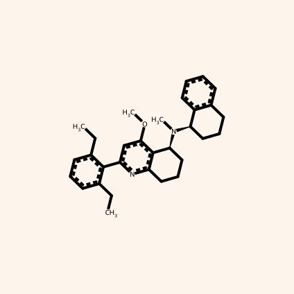 CCc1cccc(CC)c1-c1cc(OC)c2c(n1)CCC[C@@H]2N(C)[C@@H]1CCCc2ccccc21